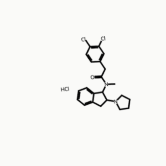 CN(C(=O)Cc1ccc(Cl)c(Cl)c1)C1c2ccccc2CC1N1CCCC1.Cl